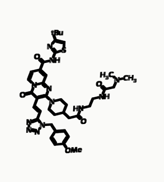 COc1ccc(Cn2nnnc2/C=C/c2c(N3CCC(CC(=O)NCCNC(=O)CN(C)C)CC3)nc3cc(C(=O)Nc4nc(C(C)(C)C)cs4)ccn3c2=O)cc1